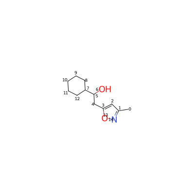 Cc1cc(CC(O)C2CCCCC2)on1